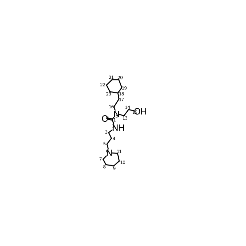 O=C(NCCCN1CCCCC1)N(CCO)CCC1CCCCC1